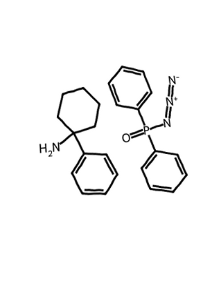 NC1(c2ccccc2)CCCCC1.[N-]=[N+]=NP(=O)(c1ccccc1)c1ccccc1